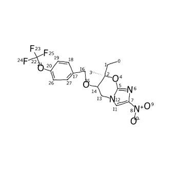 CC[C@@]1(C)Oc2nc([N+](=O)[O-])cn2CC1OCc1ccc(OC(F)(F)F)cc1